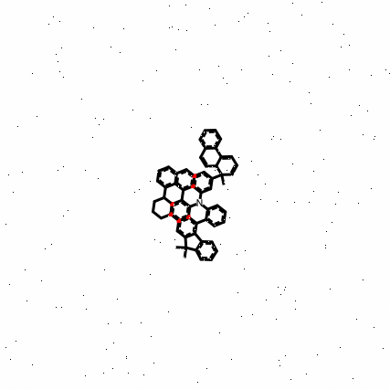 CC1(C)c2ccccc2-c2c(-c3ccccc3N(c3cccc(C4(C)C=CC=C5c6ccccc6C=CC54)c3)c3ccccc3-c3cccc4cccc(C5CCCCC5)c34)cccc21